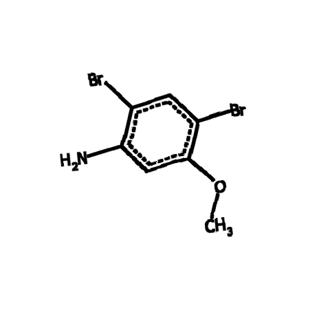 COc1cc(N)c(Br)cc1Br